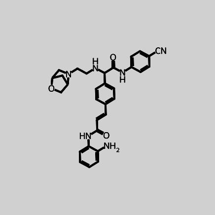 N#Cc1ccc(NC(=O)C(NCCN2CC3CC2CO3)c2ccc(C=CC(=O)Nc3ccccc3N)cc2)cc1